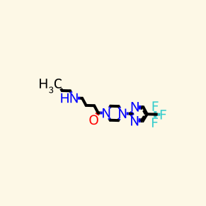 CCCNCCCC(=O)N1CCN(c2ncc(C(F)(F)F)cn2)CC1